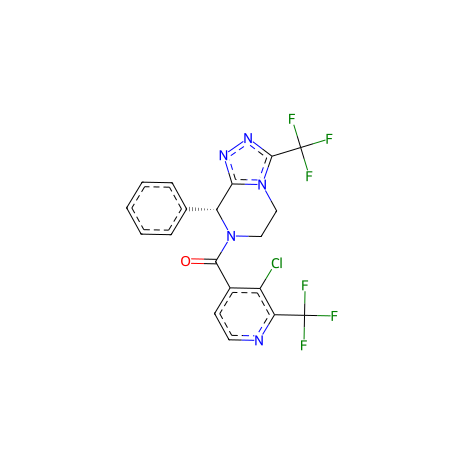 O=C(c1ccnc(C(F)(F)F)c1Cl)N1CCn2c(nnc2C(F)(F)F)[C@H]1c1ccccc1